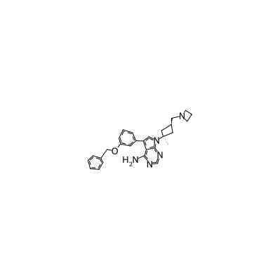 C[C@]1(n2cc(-c3cccc(OCc4ccccc4)c3)c3c(N)ncnc32)C[C@@H](CN2CCC2)C1